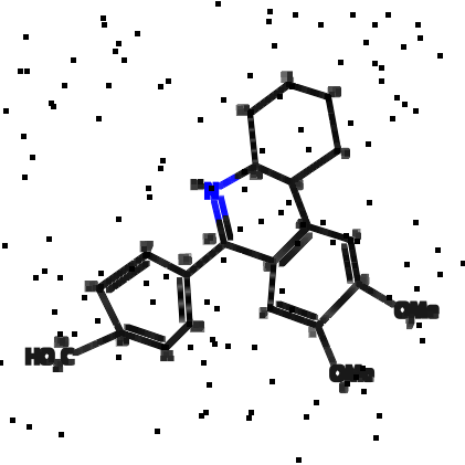 COc1cc2c(cc1OC)C1CCCCC1N=C2c1ccc(C(=O)O)cc1